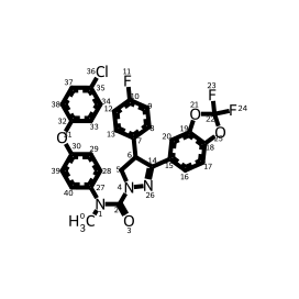 CN(C(=O)N1CC(c2ccc(F)cc2)C(c2ccc3c(c2)OC(F)(F)O3)=N1)c1ccc(Oc2ccc(Cl)cc2)cc1